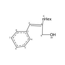 CCCCCCC(=Cc1ccccc1)CO